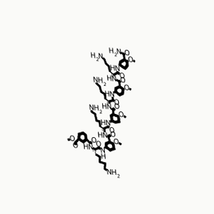 COC(=O)c1cccc(C(=O)N[C@@H](CCCCCN)C(=O)Nc2ccc(OC)c(C(=O)N[C@@H](CCCCCN)C(=O)Nc3ccc(OC)c(C(=O)N[C@@H](CCCCCN)C(=O)Nc4ccc(OC)c(C(=O)N[C@@H](CCCCN)C(=O)Nc5ccc(OC)c(C(N)=O)c5)c4)c3)c2)c1